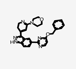 C1=C(c2n[nH]c3ccc(-c4nccc(OCc5ccccc5)n4)cc23)CCN=C1N1CCOCC1